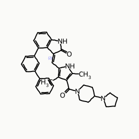 Cc1[nH]c(/C=C2\C(=O)Nc3cccc(-c4cccc(-c5ccccc5)c4)c32)c(C)c1C(=O)N1CCC(N2CCCC2)CC1